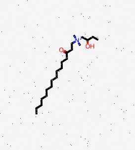 CCCCCCCCCCCCCC(=O)CC[N+](C)(C)CC(O)CC